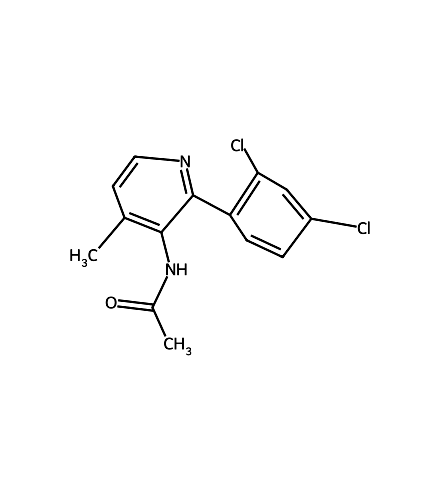 CC(=O)Nc1c(C)ccnc1-c1ccc(Cl)cc1Cl